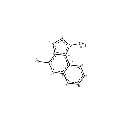 Cn1cnc2c(Cl)nc3ccccc3c21